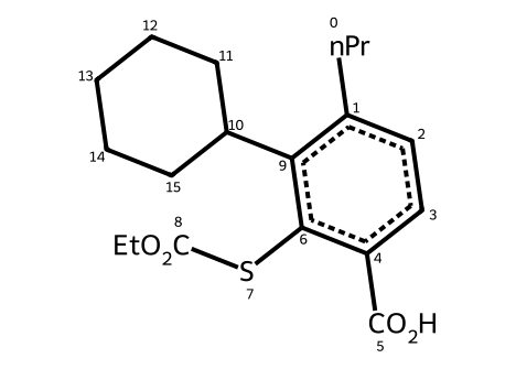 CCCc1ccc(C(=O)O)c(SC(=O)OCC)c1C1CCCCC1